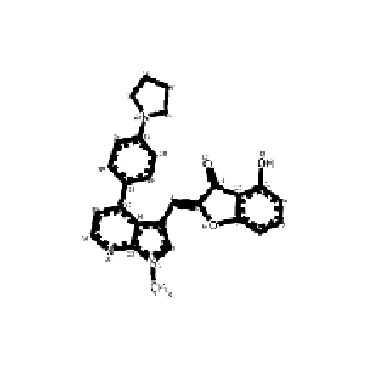 Cn1cc(C=C2Oc3cccc(O)c3C2=O)c2c(-c3ccc(N4CCCC4)cc3)ccnc21